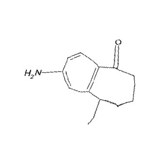 CC1CCCC(=O)c2ccc(N)cc21